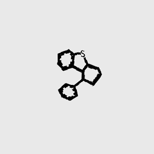 C1=CC(c2ccccc2)C2C(=C1)Sc1ccccc12